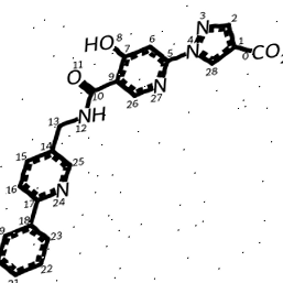 CCOC(=O)c1cnn(-c2cc(O)c(C(=O)NCc3ccc(-c4ccccc4)nc3)cn2)c1